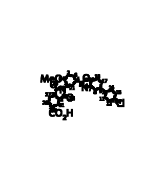 COc1ccc(-c2nc3cc(-c4ccc(Cl)cc4)ccc3o2)cc1N1C(=O)c2ccc(C(=O)O)cc2C1=O